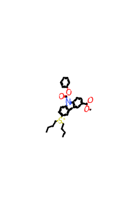 CCCC[S+](CCCC)c1ccc2c(c1)c1cc(C(=O)OC)ccc1n2C(=O)Oc1ccccc1